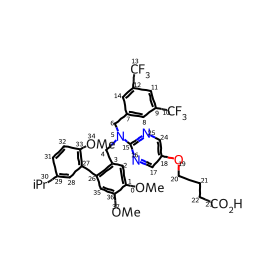 COc1cc(CN(Cc2cc(C(F)(F)F)cc(C(F)(F)F)c2)c2ncc(OCCCC(=O)O)cn2)c(-c2cc(C(C)C)ccc2OC)cc1OC